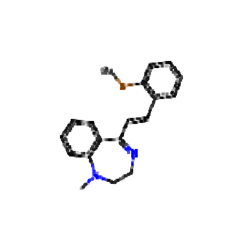 CN1CCN=C(C=Cc2ccccc2SC(C)(C)C)c2ccccc21